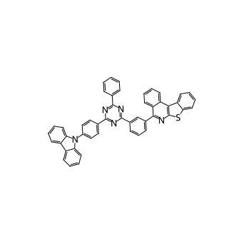 c1ccc(-c2nc(-c3ccc(-n4c5ccccc5c5ccccc54)cc3)nc(-c3cccc(-c4nc5sc6ccccc6c5c5ccccc45)c3)n2)cc1